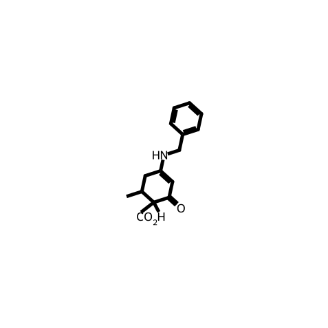 CC1CC(NCc2ccccc2)=CC(=O)C1(C)C(=O)O